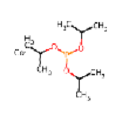 CC(C)OP(OC(C)C)OC(C)C.[Co]